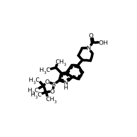 CC(C)c1c(B2OC(C)(C)C(C)(C)O2)[nH]c2ccc(C3CCN(C(=O)O)CC3)cc12